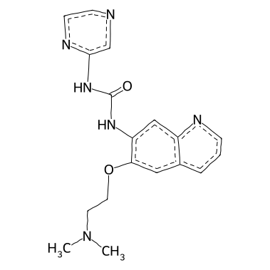 CN(C)CCOc1cc2cccnc2cc1NC(=O)Nc1cnccn1